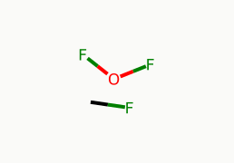 CF.FOF